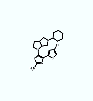 Nc1nc(-c2cc(Cl)cs2)c(N2CCC3CN(C4CCCCC4)CC32)s1